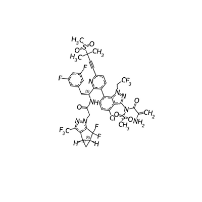 C=C(N)C(=O)N(c1nn(CC(F)(F)F)c2c(-c3ccc(C#CC(C)(C)S(C)(=O)=O)nc3[C@H](Cc3cc(F)cc(F)c3)NC(=O)Cn3nc(C(F)(F)F)c4c3C(F)(F)[C@@H]3C[C@H]43)ccc(Cl)c12)S(C)(=O)=O